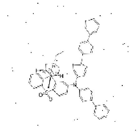 CC[C@@H]1C[C@H]2C[C@H](C)C[C@@H](C1)C21c2ccccc2S(=O)(=O)c2ccc(N(c3ccc(-c4ccccc4)cc3)c3ccc(-c4ccc(-c5ccccc5)cc4)cc3)cc21